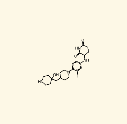 O=C1CCC(Nc2ccc(N3CCC(CC4(O)CCNCC4)CC3)c(F)c2)C(=O)N1